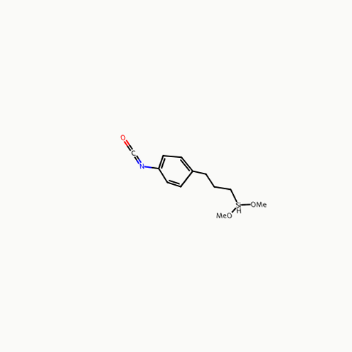 CO[SiH](CCCc1ccc(N=C=O)cc1)OC